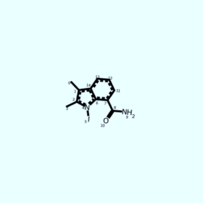 Cc1c(C)n(I)c2c(C(N)=O)cccc12